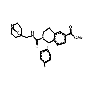 COC(=O)c1ccc2c(c1)CCN(C(=O)NCC13CCN(CC1)CC3)[C@H]2c1ccc(F)cc1